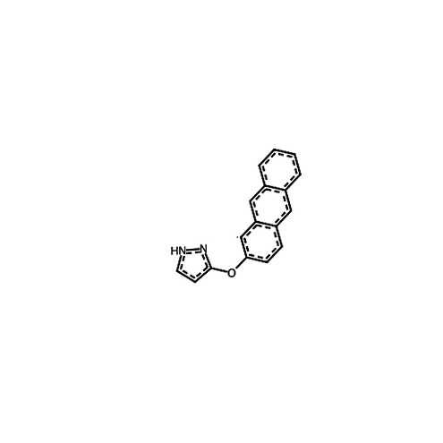 [c]1c(Oc2cc[nH]n2)ccc2cc3ccccc3cc12